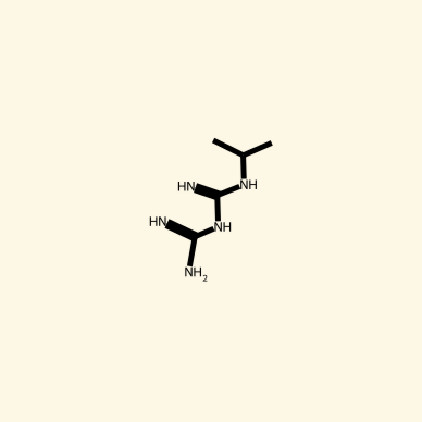 CC(C)NC(=N)NC(=N)N